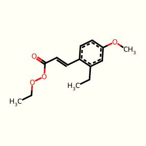 CCOOC(=O)C=Cc1ccc(OC)cc1CC